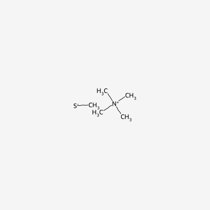 C[N+](C)(C)C.C[S-]